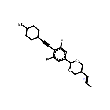 C/C=C/C1COC(c2cc(F)c(C#CC3CCC(CC)CC3)c(F)c2)OC1